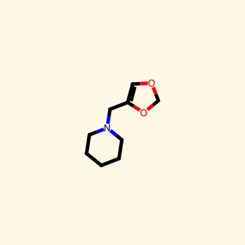 C1=C(CN2CCCCC2)OCO1